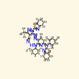 CCc1cccc(C)c1Nc1nc(N(c2nc3ccccc3s2)c2c(C)cc(C)cc2C)cc(C)c1N=Nc1c(C#N)c(C(C)(C)C)nn1-c1nc2ccccc2s1